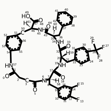 O=C1CCC(=O)N[C@H](Cc2ccc(F)c(F)c2)C(=O)N[C@@H](Cc2ccc(C(F)(F)F)cc2)C(=O)N[C@H](Cc2ccccc2)C(=O)N[C@H](C(=O)O)Cc2ccc(cc2)N1